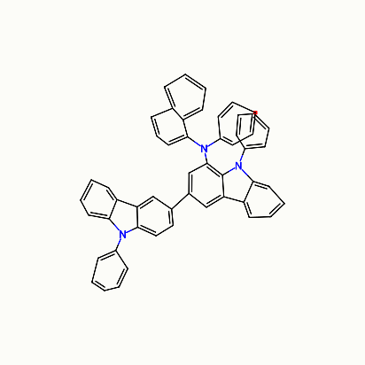 c1ccc(N(c2cccc3ccccc23)c2cc(-c3ccc4c(c3)c3ccccc3n4-c3ccccc3)cc3c4ccccc4n(-c4ccccc4)c23)cc1